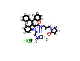 CN(C)CCn1c(C(=O)NCCCN2CCCC2=O)c(C(c2ccccc2)c2ccccc2)c2ccccc21.Cl